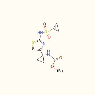 CC(C)(C)OC(=O)NC1(c2csc(NS(=O)(=O)C3=CC3)n2)CC1